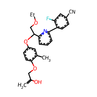 C=C(O)COc1ccc(OC(COCC)c2cccc(-c3ccc(C#N)cc3F)n2)cc1C